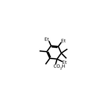 CCC1=C(CC)C(C)(C)C(CC)(C(=O)O)C(C)=C1C